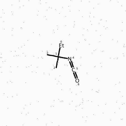 [CH2]CC(C)(C)N=C=O